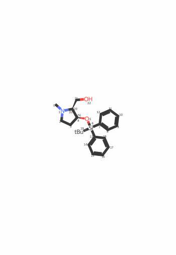 CN1CC[C@H](O[Si](c2ccccc2)(c2ccccc2)C(C)(C)C)[C@@H]1CO